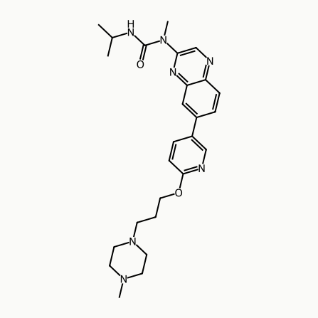 CC(C)NC(=O)N(C)c1cnc2ccc(-c3ccc(OCCCN4CCN(C)CC4)nc3)cc2n1